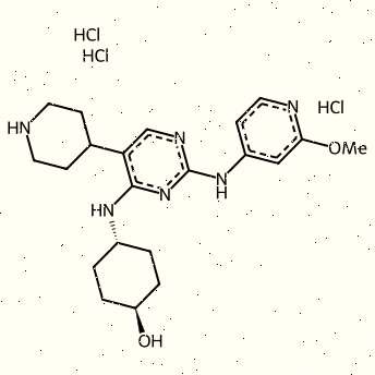 COc1cc(Nc2ncc(C3CCNCC3)c(N[C@H]3CC[C@H](O)CC3)n2)ccn1.Cl.Cl.Cl